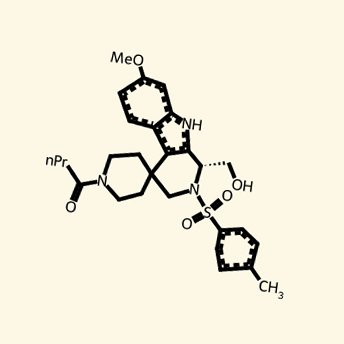 CCCC(=O)N1CCC2(CC1)CN(S(=O)(=O)c1ccc(C)cc1)[C@@H](CO)c1[nH]c3cc(OC)ccc3c12